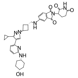 O=C1CCC(N2C(=O)c3ccc(NC[C@H]4C[C@H](n5cc(-c6cccc(N[C@H]7CC[C@@H](O)CC7)n6)c(C6CC6)n5)C4)cc3C2=O)C(=O)N1